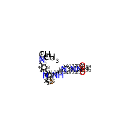 CCN(CC)Cc1ccc(-c2cc(NCCCN3CCC(N4CCN(S(=O)(=O)C5CC5)CC4)CC3)c3sccc3n2)cc1